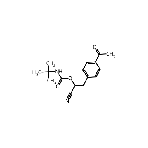 CC(=O)c1ccc(CC(C#N)OC(=O)NC(C)(C)C)cc1